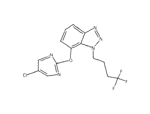 FC(F)(F)CCCn1nnc2cccc(Oc3ncc(Cl)cn3)c21